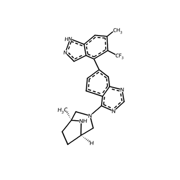 Cc1cc2[nH]ncc2c(-c2ccc3c(N4C[C@H]5CC[C@@](C)(C4)N5)ncnc3c2)c1C(F)(F)F